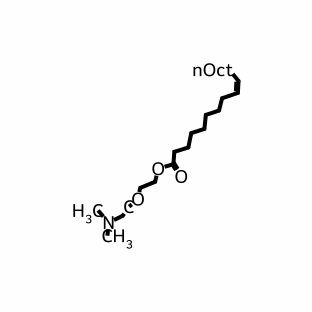 CCCCCCCC/C=C\CCCCCCCC(=O)OCCOCCN(C)C